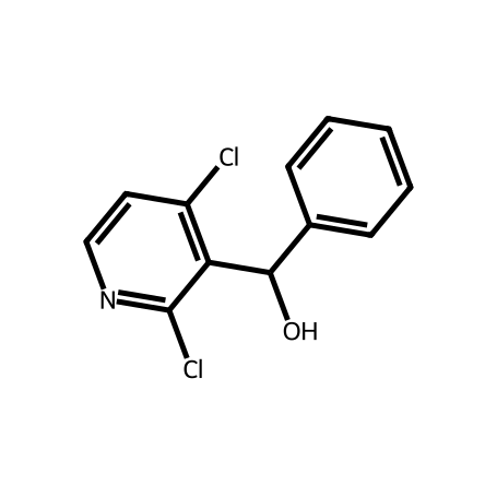 OC(c1ccccc1)c1c(Cl)ccnc1Cl